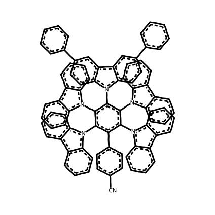 N#Cc1ccc(-c2c(-n3c4ccccc4c4ccccc43)c(-n3c4ccccc4c4ccccc43)c(-n3c4ccc(-c5ccccc5)cc4c4cc(-c5ccccc5)ccc43)c(-n3c4ccccc4c4ccccc43)c2-n2c3ccccc3c3ccccc32)cc1